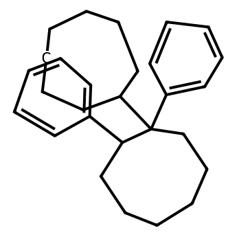 c1ccc(C2CCCCCCC2(c2ccccc2)C2CCCCCCC2)cc1